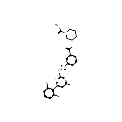 Cc1cccc(C)c1-c1cc(O)nc(NS(=O)(=O)c2cccc(C(=O)N[C@H]3CCCN(C(=O)OC(C)(C)C)C3)c2)n1